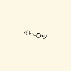 CC(C)(C)Nc1ccc(CCN2CCOCC2)cc1